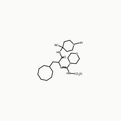 CCCN1CCC(C#N)(NC(=O)C(CC2CCCCCCC2)/N=C(/NC(=O)OCC)N2CCOCC2)CC1